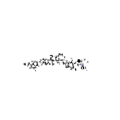 C/N=C(\CCNC(=O)c1cc(NC(=O)c2cc(NC(=O)c3ccc(/C=C/c4ccc(N(C)C)cc4)nc3)cn2C)cn1C)NC